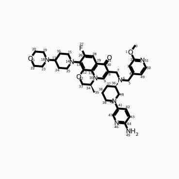 COc1cc(CN(Cc2cn3c4c(c(N5CCC(N6CCOCC6)CC5)c(F)cc4c2=O)OC[C@@H]3C)[C@H]2CCCN(c3ccc(N)nc3)C2)ccn1